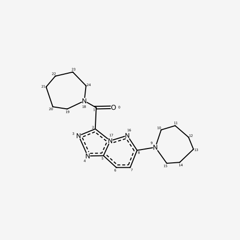 O=C(c1nnc2ccc(N3CCCCCC3)nn12)N1CCCCCC1